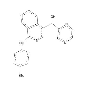 CC(C)(C)c1ccc(Nc2ncc(C(O)c3cnccn3)c3ccccc23)cc1